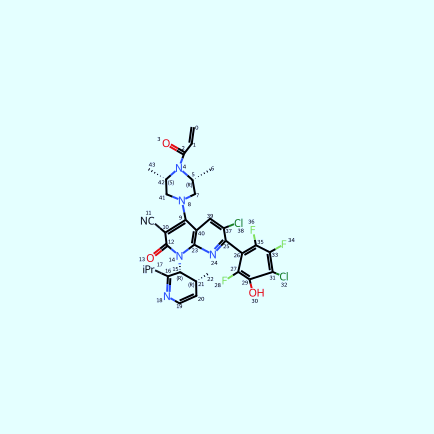 C=CC(=O)N1[C@H](C)CN(c2c(C#N)c(=O)n([C@H]3C(C(C)C)=NC=C[C@H]3C)c3nc(-c4c(F)c(O)c(Cl)c(F)c4F)c(Cl)cc23)C[C@@H]1C